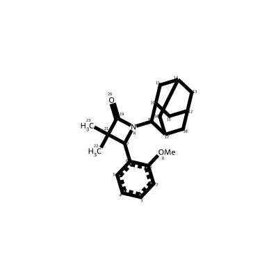 COc1ccccc1C1N(C2C3CC4CC(C3)CC2C4)C(=O)C1(C)C